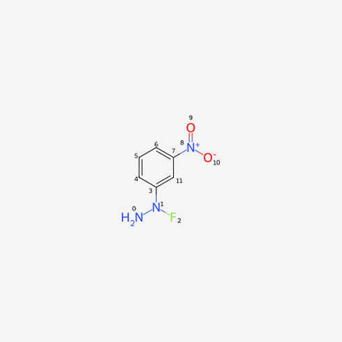 NN(F)c1cccc([N+](=O)[O-])c1